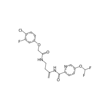 C=C(CCNC(=O)COc1ccc(Cl)c(F)c1)NC(=O)c1ccc(OC(F)F)cn1